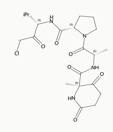 CC(C)[C@H](NC(=O)[C@@H]1CCCN1C(=O)[C@H](C)NC(=O)[C@]1(C)NC(=O)CCC1=O)C(=O)[CH]Cl